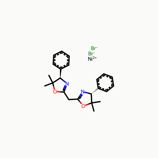 CC1(C)OC(CC2=N[C@H](c3ccccc3)C(C)(C)O2)=N[C@@H]1c1ccccc1.[Br-].[Br-].[Ni+2]